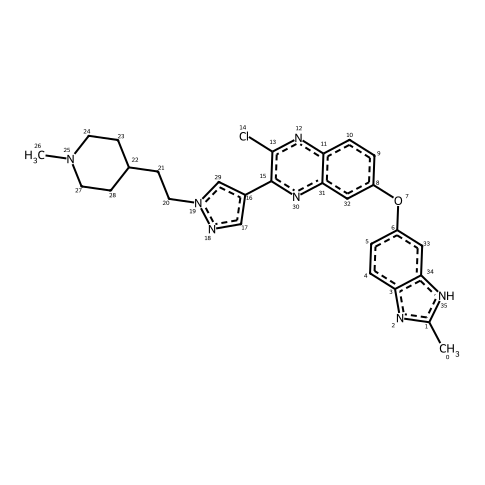 Cc1nc2ccc(Oc3ccc4nc(Cl)c(-c5cnn(CCC6CCN(C)CC6)c5)nc4c3)cc2[nH]1